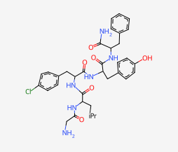 CC(C)CC(NC(=O)CN)C(=O)NC(Cc1ccc(Cl)cc1)C(=O)NC(Cc1ccc(O)cc1)C(=O)NC(Cc1ccccc1)C(N)=O